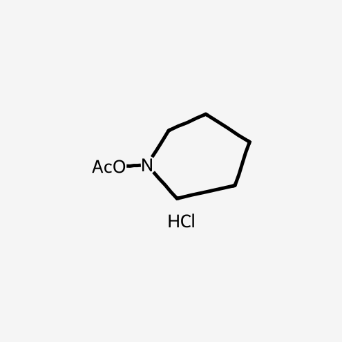 CC(=O)ON1CCCCC1.Cl